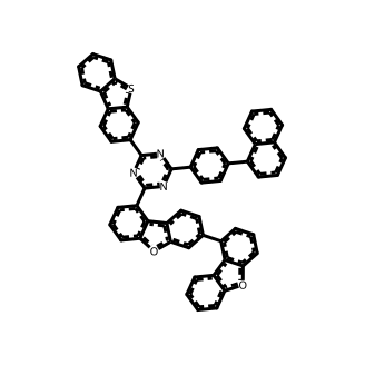 c1ccc2c(-c3ccc(-c4nc(-c5ccc6c(c5)sc5ccccc56)nc(-c5cccc6oc7cc(-c8cccc9oc%10ccccc%10c89)ccc7c56)n4)cc3)cccc2c1